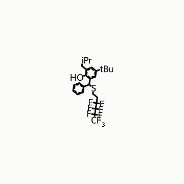 CC(C)Cc1cc(C(C)(C)C)cc(C(SCCC(F)(F)C(F)(F)C(F)(F)C(F)(F)F)c2ccccc2)c1O